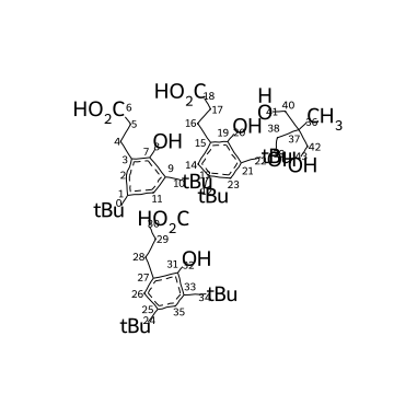 CC(C)(C)c1cc(CCC(=O)O)c(O)c(C(C)(C)C)c1.CC(C)(C)c1cc(CCC(=O)O)c(O)c(C(C)(C)C)c1.CC(C)(C)c1cc(CCC(=O)O)c(O)c(C(C)(C)C)c1.CC(CO)(CO)CO